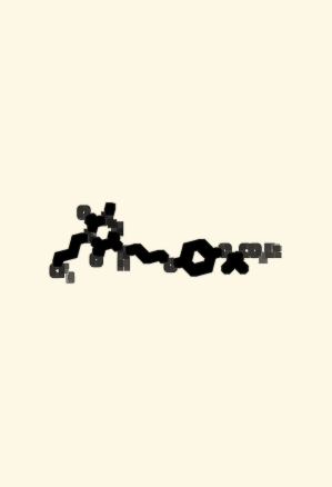 CCOC(=O)C(C)(C)Oc1ccc(OCCCNc2nn(C)c(=O)n(CCCC(F)(F)F)c2=O)cc1